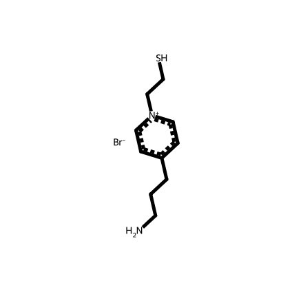 NCCCc1cc[n+](CCS)cc1.[Br-]